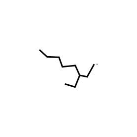 [CH2]CC(CC)CCCCC